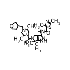 Cc1nc(C)c(C(=O)Nc2n[nH]c3c2CN(C(=O)N2C[C@@H](C)N(CC4CCOCC4)C[C@@H]2C)C3(C)C)s1